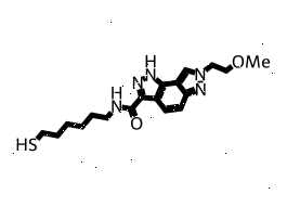 COCCn1cc2c(ccc3c(C(=O)NCCCCCCS)n[nH]c32)n1